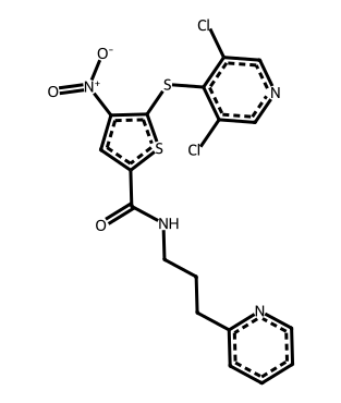 O=C(NCCCc1ccccn1)c1cc([N+](=O)[O-])c(Sc2c(Cl)cncc2Cl)s1